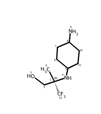 C[C@](CO)(NC1CCC(N)CC1)C(F)(F)F